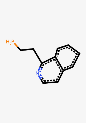 PCCc1nccc2ccccc12